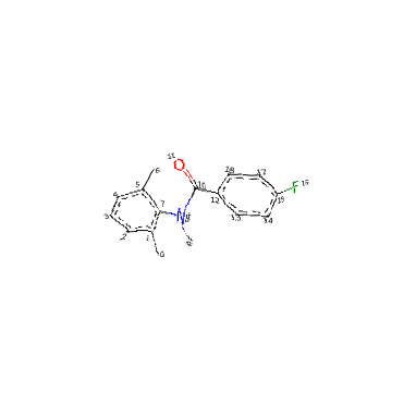 Cc1cccc(C)c1N(C)C(=O)c1ccc(F)cc1